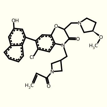 C=CC(=O)N1CC(CN2C(=O)C(CN3CC[C@@H](OC)C3)Oc3cc(-c4cc(O)cc5ccccc45)c(Cl)cc32)C1